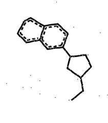 [CH2]CC1C[CH]C(c2ccc3ccccc3c2)C1